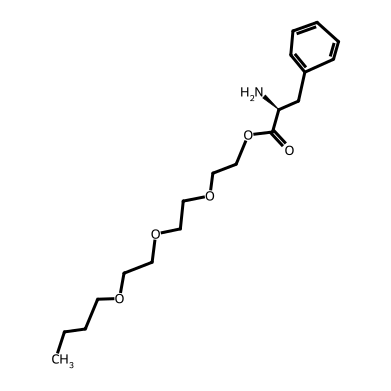 CCCCOCCOCCOCCOC(=O)[C@@H](N)Cc1ccccc1